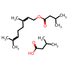 CC(C)=CCC/C(C)=C\COC(=O)CC(C)C.CC(C)CC(=O)O